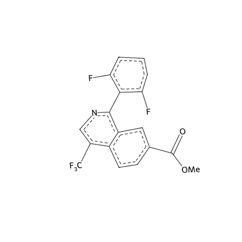 COC(=O)c1ccc2c(C(F)(F)F)cnc(-c3c(F)cccc3F)c2c1